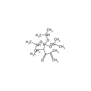 C=C(C)C(=O)C(CC)[Si](O[SiH](C)C)(O[SiH](C)C)O[SiH](C)C